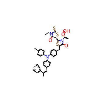 C=C(OO)n1c(=O)/c(=C/c2ccc(N(c3ccc(C)cc3)c3ccc(C=C(C)c4ccccc4)cc3)cc2)s/c1=C1/SC(=S)N(CC)C1=O